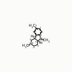 Cc1ccc2c(c1)[C@@H]1CN(C)CC[C@H]1N2C